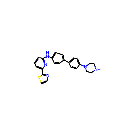 c1cc(Nc2ccc(-c3ccc(N4CCNCC4)cc3)cc2)nc(-c2nccs2)c1